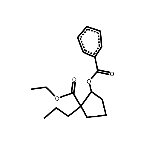 CCCC1(C(=O)OCC)CCCC1OC(=O)c1ccccc1